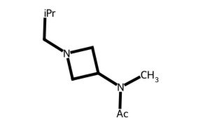 CC(=O)N(C)C1CN(CC(C)C)C1